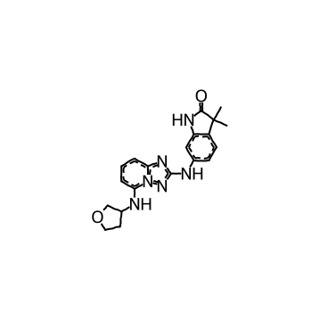 CC1(C)C(=O)Nc2cc(Nc3nc4cccc(NC5CCOC5)n4n3)ccc21